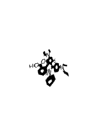 CCN(CC)c1ccc2c(c1)Sc1cc(N(CC)CC)cc(-c3ccccc3C(=O)O)c1C2Nc1ccccc1